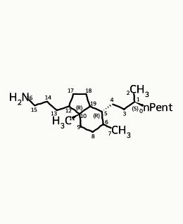 CCCCC[C@H](C)CC[C@@H]1C(C)CC[C@]2(C)C(CCCN)CCC12